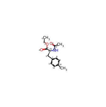 CCOC(=O)[C@H](Cc1ccc(C)cc1)NC(C)=O